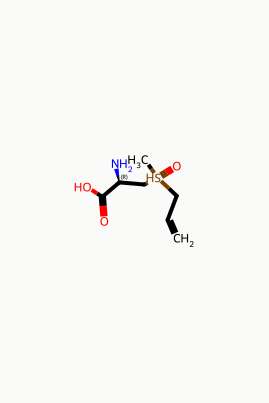 C=CC[SH](C)(=O)C[C@H](N)C(=O)O